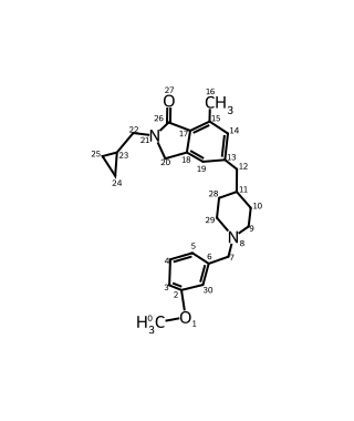 COc1cccc(CN2CCC(Cc3cc(C)c4c(c3)CN(CC3CC3)C4=O)CC2)c1